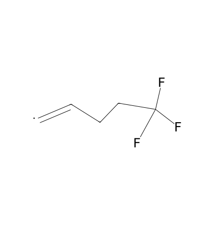 [CH]=CCCC(F)(F)F